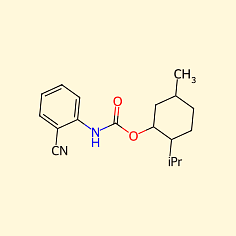 CC1CCC(C(C)C)C(OC(=O)Nc2ccccc2C#N)C1